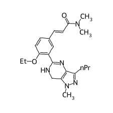 CCCc1nn(C)c2c1N=C(c1cc(C=CC(=O)N(C)C)ccc1OCC)NC2